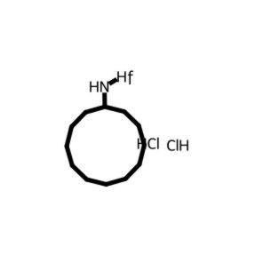 Cl.Cl.[Hf][NH]C1CCCCCCCCCCC1